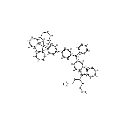 CCCC(CCC)n1c2ccccc2c2cc(N(c3ccccc3)c3ccc(-c4ccc5c(c4)C4CCCC[C@@H]4C54c5ccccc5-c5ccccc54)cc3)ccc21